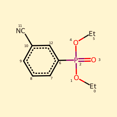 CCOP(=O)(OCC)c1cccc(C#N)c1